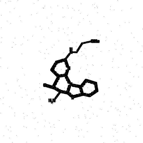 COCCNc1ccc2c(=O)c(N)c3sc4ccccc4n3c2n1